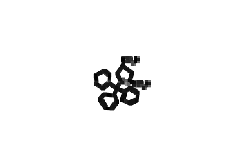 O=C(O)C1C[C@@H](C(=O)O)N(C(c2ccccc2)(c2ccccc2)c2ccccc2)C1